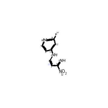 N=C(/C=C\Nc1ccnc(F)c1)[N+](=O)[O-]